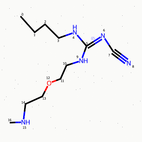 CCCCN/C(=N/C#N)NCCOCCNC